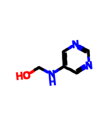 OCNc1cncnc1